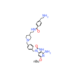 CCCCOc1cc2c([nH]c(=O)n2Cc2ccc(CN3CCC(CCNC(=O)c4ccc(CCN)cc4)CC3)cc2)c(N)n1